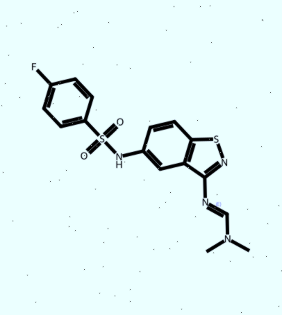 CN(C)/C=N/c1nsc2ccc(NS(=O)(=O)c3ccc(F)cc3)cc12